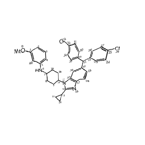 COc1cccc(NC2CCC(n3c(C4CC4)nc4ccc(C(c5ccc(Cl)cc5)c5ccc(Cl)cc5)cc43)CC2)c1